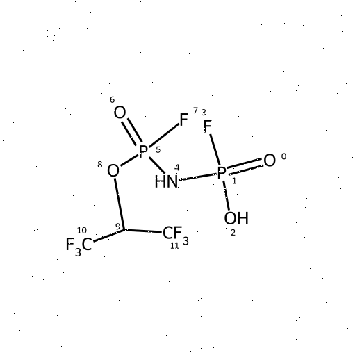 O=P(O)(F)NP(=O)(F)OC(C(F)(F)F)C(F)(F)F